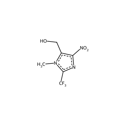 Cn1c(C(F)(F)F)nc([N+](=O)[O-])c1CO